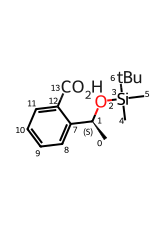 C[C@H](O[Si](C)(C)C(C)(C)C)c1ccccc1C(=O)O